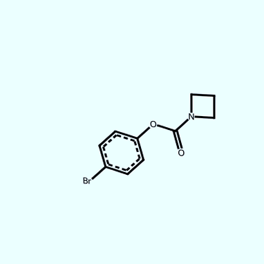 O=C(Oc1ccc(Br)cc1)N1CCC1